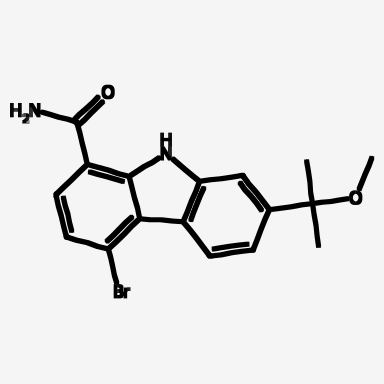 COC(C)(C)c1ccc2c(c1)[nH]c1c(C(N)=O)ccc(Br)c12